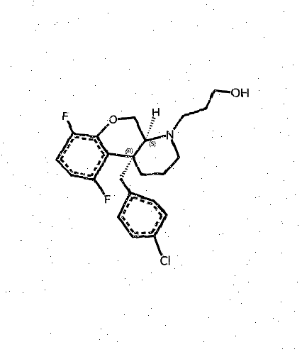 OCCCN1CCC[C@@]2(Cc3ccc(Cl)cc3)c3c(F)ccc(F)c3OC[C@@H]12